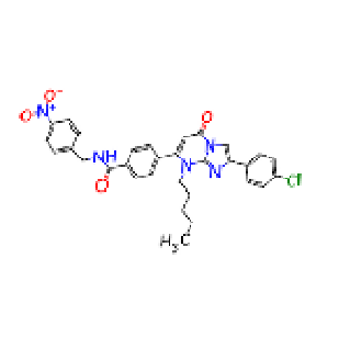 CCCCCn1c(-c2ccc(C(=O)NCc3ccc([N+](=O)[O-])cc3)cc2)cc(=O)n2cc(-c3ccc(Cl)cc3)nc12